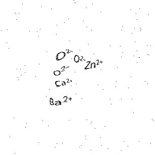 [Ba+2].[Ca+2].[O-2].[O-2].[O-2].[Zn+2]